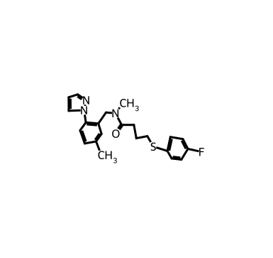 Cc1ccc(-n2cccn2)c(CN(C)C(=O)CCCSc2ccc(F)cc2)c1